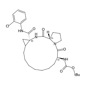 CC(C)(C)OC(=O)N[C@H]1CCCCCCCC2C[C@@]2(C(=O)Nc2ccccc2Cl)NC(=O)[C@@H]2CCCN2C1=O